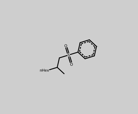 CCCCCCC(C)CS(=O)(=O)c1cc[c]cc1